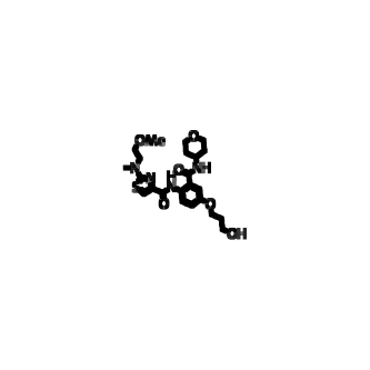 COCCN(C)c1nc(C(=O)Nc2ccc(OCCCO)cc2C(=O)NC2CCOCC2)cs1